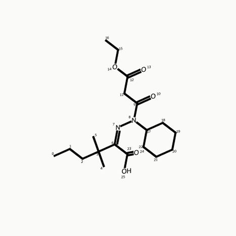 CCCC(C)(C)C(=NN(C(=O)CC(=O)OCC)C1CCCCC1)C(=O)O